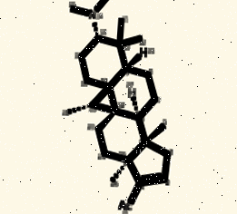 CC(=O)C1=CC[C@@]2(C)[C@@H]3CC[C@H]4C(C)(C)[C@@H](N(C)C)CCC45[C@@H](C)[C@@]35CC[C@]12C